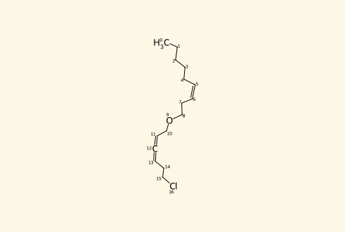 CCCCC/C=C\CCOCC=C=CCCCl